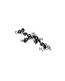 CC(C)(C)OC(=O)N1CCN(CCCNc2ccc(S(=O)(=O)NC(=O)c3ccc(N4CCC([C@H](O)c5ccccc5-c5ccc(Cl)cc5)CC4)cc3Oc3cnc4[nH]ccc4c3)cc2S(=O)(=O)C(F)(F)F)CC1